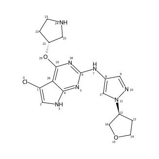 Clc1c[nH]c2nc(Nc3cnn([C@H]4CCOC4)c3)nc(O[C@@H]3CCNC3)c12